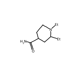 CCC1CC(C(N)=O)CCN1CC